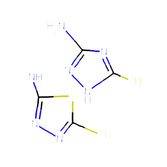 Nc1n[nH]c(S)n1.Nc1nnc(S)s1